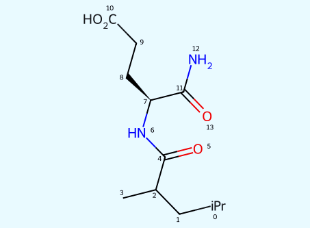 CC(C)CC(C)C(=O)N[C@@H](CCC(=O)O)C(N)=O